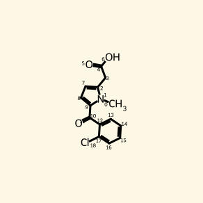 Cn1c(CC(=O)O)ccc1C(=O)c1ccccc1Cl